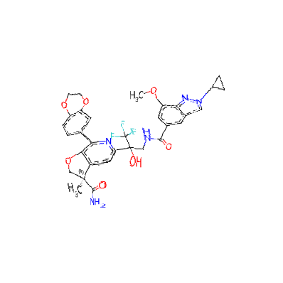 COc1cc(C(=O)NCC(O)(c2cc3c(c(-c4ccc5c(c4)OCCO5)n2)OC[C@]3(C)C(N)=O)C(F)(F)F)cc2cn(C3CC3)nc12